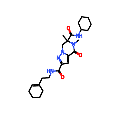 CN1C(=O)c2cc(C(=O)NCCC3=CCCCC3)nn2CC1(C)C(=O)NC1CCCCC1